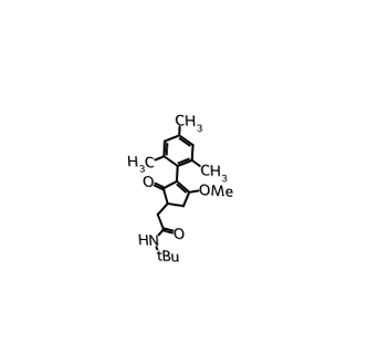 COC1=C(c2c(C)cc(C)cc2C)C(=O)C(CC(=O)NC(C)(C)C)C1